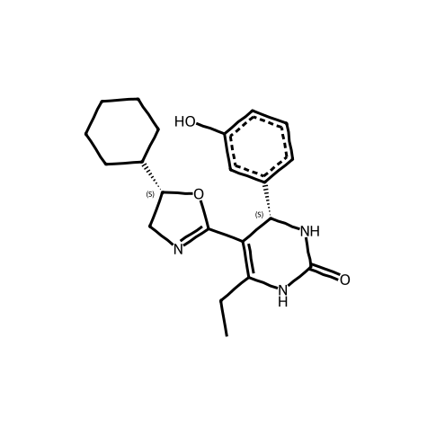 CCC1=C(C2=NC[C@H](C3CCCCC3)O2)[C@H](c2cccc(O)c2)NC(=O)N1